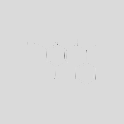 CC(Nc1nc([AsH2])nc(C(F)(F)F)n1)c1ccccc1